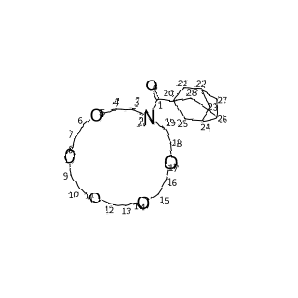 O=C(N1CCOCCOCCOCCOCCOCC1)C12CC3CC(C1)C(C3)C2